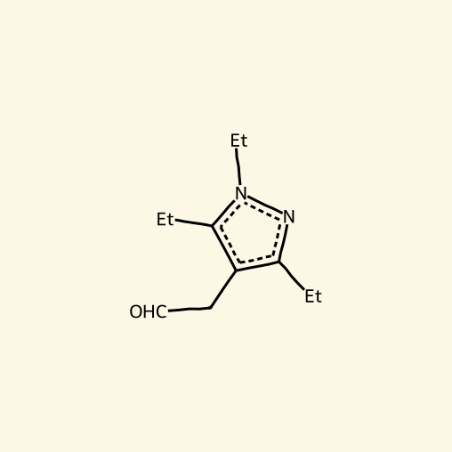 CCc1nn(CC)c(CC)c1CC=O